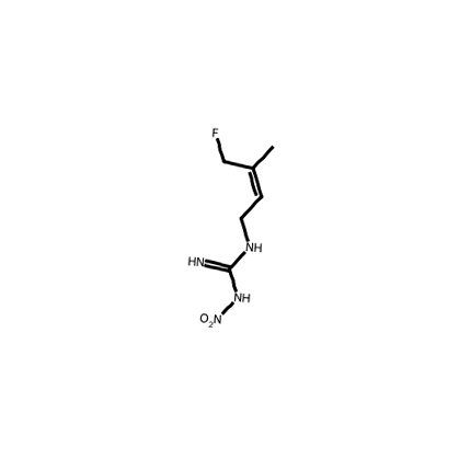 C/C(=C/CNC(=N)N[N+](=O)[O-])CF